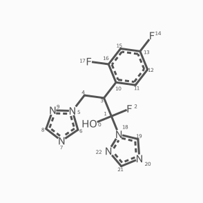 OC(F)(C(Cn1cncn1)c1ccc(F)cc1F)n1cncn1